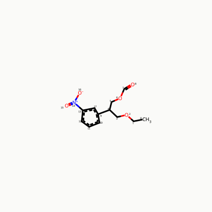 CCOCC(COC=O)c1cccc([N+](=O)[O-])c1